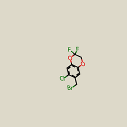 FC1(F)COc2cc(CBr)c(Cl)cc2O1